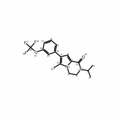 CC(C)N1CCn2c(cc(-c3cccc(OC(F)(F)F)c3)c2I)C1=O